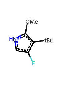 COc1[nH]cc(F)c1C(C)(C)C